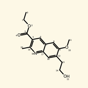 CCOC(=O)c1cc2cc(OC)c(CCO)cc2nc1C